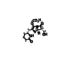 O=C1CCC[C@H](CC2=C(OC(=O)O)N3C(=O)[C@H](CO)[C@H]3S2)N1